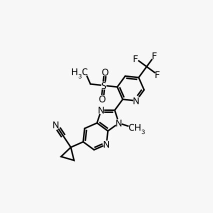 CCS(=O)(=O)c1cc(C(F)(F)F)cnc1-c1nc2cc(C3(C#N)CC3)cnc2n1C